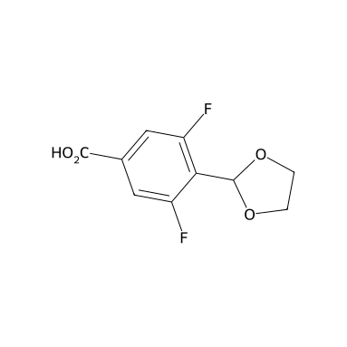 O=C(O)c1cc(F)c(C2OCCO2)c(F)c1